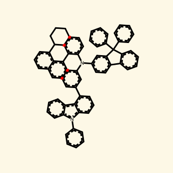 c1ccc(-n2c3ccccc3c3c(-c4cccc(N(c5ccc6c(c5)C(c5ccccc5)(c5ccccc5)c5ccccc5-6)c5ccccc5-c5cccc6cccc(C7CCCCC7)c56)c4)cccc32)cc1